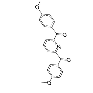 COc1ccc(C(=O)c2cccc(C(=O)c3ccc(OC)cc3)n2)cc1